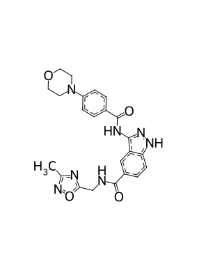 Cc1noc(CNC(=O)c2ccc3[nH]nc(NC(=O)c4ccc(N5CCOCC5)cc4)c3c2)n1